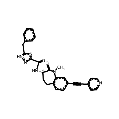 CN1C(=O)[C@@H](NC(=O)c2n[nH]c(Cc3ccccc3)n2)CCc2ccc(C#Cc3ccncc3)cc21